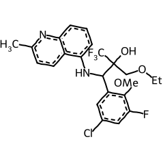 CCOCC(O)(C(Nc1cccc2nc(C)ccc12)c1cc(Cl)cc(F)c1OC)C(F)(F)F